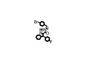 O=C(N/N=C\c1ccc(Br)cc1)c1[nH]c2ccccc2c1-c1ccc(F)cc1